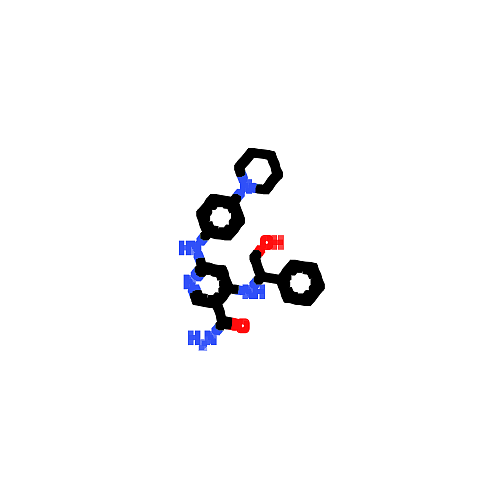 NC(=O)c1cnc(Nc2ccc(N3CCCCC3)cc2)cc1NC(CO)c1ccccc1